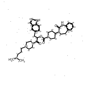 CN(C)CCCN1CCN(C(=O)C(Cc2ccc3[nH]ncc3c2)OC(=O)N2CCC(N3CCc4ccccc4NC3=O)CC2)CC1